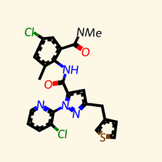 CNC(=O)c1cc(Cl)cc(C)c1NC(=O)c1cc(Cc2ccsc2)nn1-c1ncccc1Cl